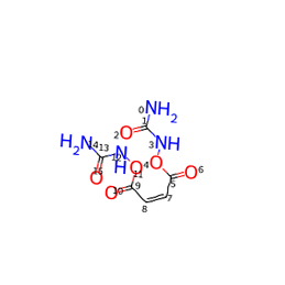 NC(=O)NOC(=O)/C=C\C(=O)ONC(N)=O